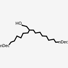 CCCCCCCCCCCCCCCCCCC(CCO)CCCCCCCCCCCCCCCC